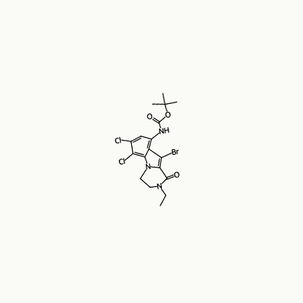 CCN1CCn2c(c(Br)c3c(NC(=O)OC(C)(C)C)cc(Cl)c(Cl)c32)C1=O